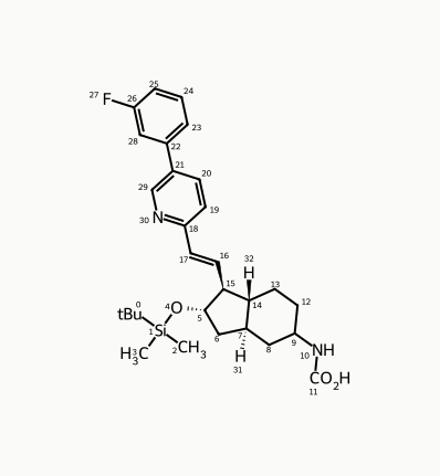 CC(C)(C)[Si](C)(C)O[C@H]1C[C@@H]2CC(NC(=O)O)CC[C@H]2[C@@H]1/C=C/c1ccc(-c2cccc(F)c2)cn1